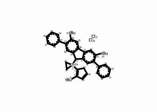 CC(C)(C)C1=[C]([Zr+2]2([CH]3c4cc(-c5ccccc5)c(C(C)(C)C)cc4-c4cc(C(C)(C)C)c(-c5ccccc5)cc43)[CH2][CH2]2)CC=C1.[Cl-].[Cl-]